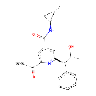 CNC(=O)c1cc(C(=O)N[C@H]2C[C@@H]2C)cc([C@H](c2ccccc2)[C@@H](C)O)n1